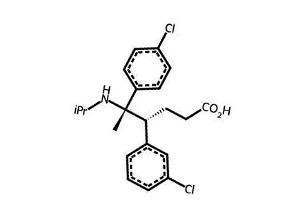 CC(C)N[C@](C)(c1ccc(Cl)cc1)[C@H](CCC(=O)O)c1cccc(Cl)c1